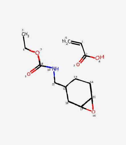 C=CC(=O)O.CCOC(=O)NCC1CCC2OC2C1